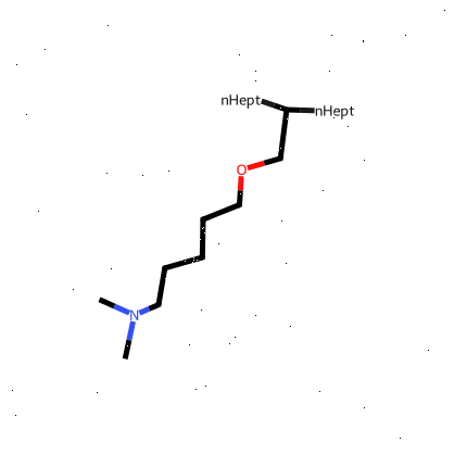 CCCCCCCC(CCCCCCC)COCCCCCN(C)C